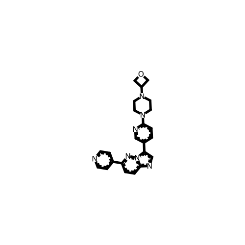 c1cc(-c2ccc3ncc(-c4ccc(N5CCN(C6COC6)CC5)nc4)n3n2)ccn1